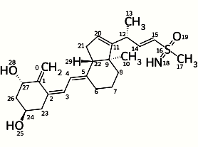 C=C1/C(=C\C=C2/CCC[C@]3(C)C([C@H](C)/C=C/S(C)(=N)=O)=CC[C@@H]23)C[C@@H](O)C[C@@H]1O